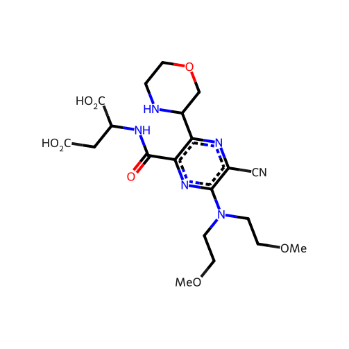 COCCN(CCOC)c1nc(C(=O)NC(CC(=O)O)C(=O)O)c(C2COCCN2)nc1C#N